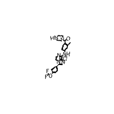 Cc1cc(Nc2nccn3c(-c4ccc(OC(F)F)cc4)cnc23)ccc1C(=O)N1CCNCC1.Cl